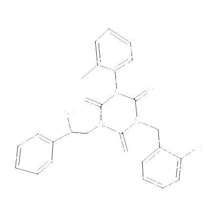 NC(Cn1c(=O)n(Cc2ccccc2Cl)c(=O)n(-c2ccccc2Cl)c1=O)c1ccccc1